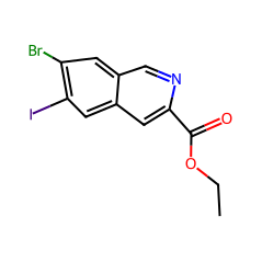 CCOC(=O)c1cc2cc(I)c(Br)cc2cn1